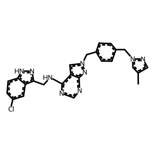 Cc1cnn(Cc2ccc(Cn3cc4c(NCc5n[nH]c6ccc(Cl)cc56)ncnc4n3)cc2)c1